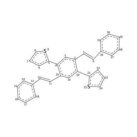 C(=Cc1cc(-c2cccs2)c(C=Cc2ccccc2)cc1-c1cccs1)c1ccccc1